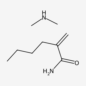 C=C(CCCC)C(N)=O.CNC